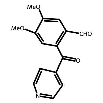 COc1cc(C=O)c(C(=O)c2ccncc2)cc1OC